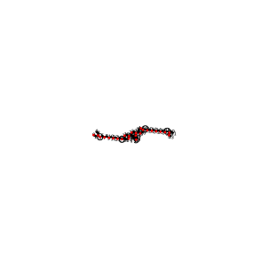 C=CC(C=C)OCCCCCCCCCOc1ccc(-c2ccc(-c3ccc(OCCCCCCCCCOC(C=C)C=C)cc3)c3nsnc23)cc1